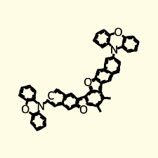 Cc1c(C)c2c3cc4ccc(N5c6ccccc6Oc6ccccc65)cc4cc3oc2c2c1oc1cc3cc(N4c5ccccc5Oc5ccccc54)ccc3cc12